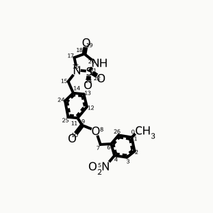 Cc1ccc([N+](=O)[O-])c(COC(=O)c2ccc(CN3CC(=O)NS3(=O)=O)cc2)c1